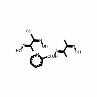 CC(=NO)C(C)=NO.CC(=NO)C(C)=NO.Clc1ccccn1.[Co]